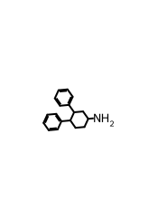 NC1CCC(c2ccccc2)C(c2ccccc2)C1